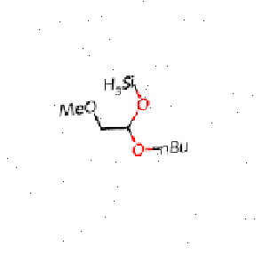 CCCCOC(COC)O[SiH3]